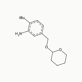 CC(C)(C)c1ccc(COC2CCCCO2)cc1N